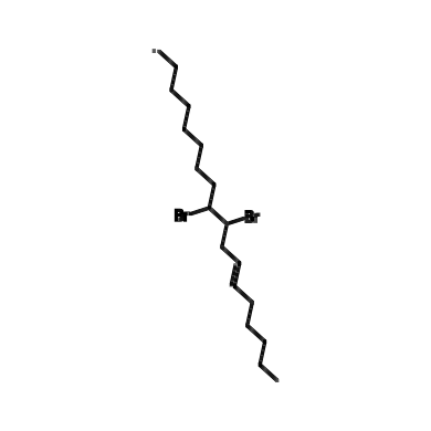 [CH2]CCCCCCCC(Br)C(Br)CC=CCCCCC